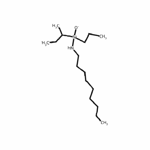 CCCCCCCCCN[N+]([O-])(CCC)C(C)CC